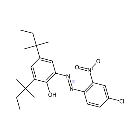 CCC(C)(C)c1cc(/N=N/c2ccc(Cl)cc2[N+](=O)[O-])c(O)c(C(C)(C)CC)c1